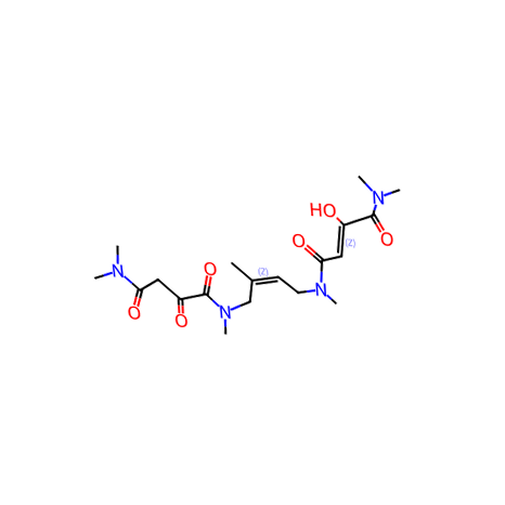 C/C(=C/CN(C)C(=O)/C=C(\O)C(=O)N(C)C)CN(C)C(=O)C(=O)CC(=O)N(C)C